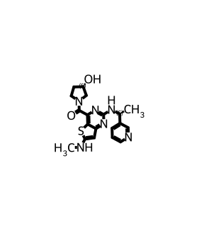 CNc1cc2nc(N[C@@H](C)c3cccnc3)nc(C(=O)N3CC[C@H](O)C3)c2s1